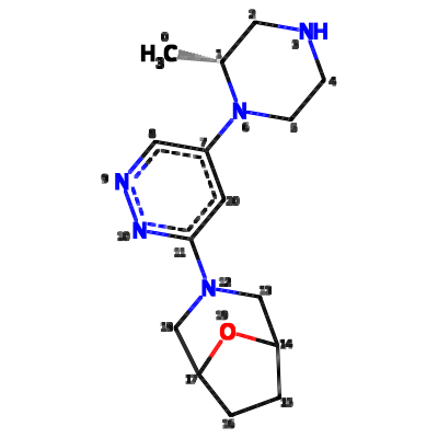 C[C@@H]1CNCCN1c1cnnc(N2CC3CCC(C2)O3)c1